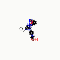 O=[N+]([O-])c1cnc(NCc2ccccc2OC(F)(F)F)nc1NC[C@H]1CC[C@H](N2CC(O)C2)CC1